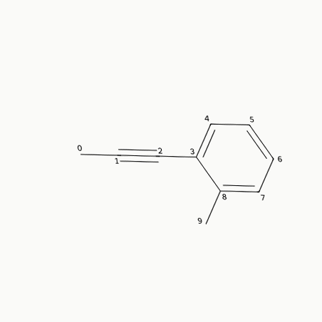 CC#Cc1ccccc1C